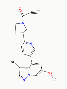 C#CC(=O)N1CCC(c2ccc(-c3cc(OCC)cn4ncc(C#N)c34)cn2)C1